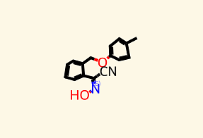 Cc1ccc(OCc2ccccc2/C(C#N)=N\O)cc1